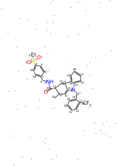 CCS(=O)(=O)c1ccc(CNC(=O)C2C=c3c(n(Cc4ccccc4C(F)(F)F)c4ccccc34)=CC2C)cc1